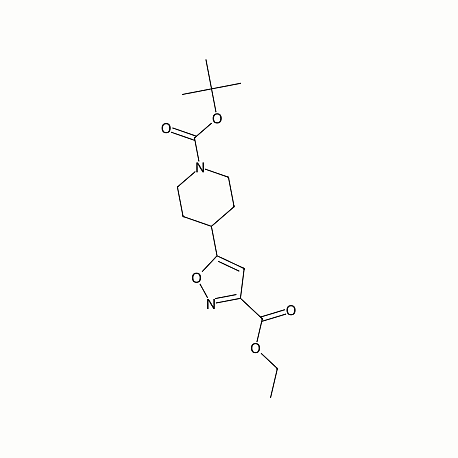 CCOC(=O)c1cc(C2CCN(C(=O)OC(C)(C)C)CC2)on1